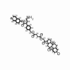 C[C@]12C=CC(=O)C=C1CC[C@@H]1C2[C@@H](O)C[C@@]2(C)C1CC[C@@H]2C(=O)COC(=O)CCC(=O)OCc1ccc(C(CCN)C(=O)Nc2ccc3cnccc3c2)cc1